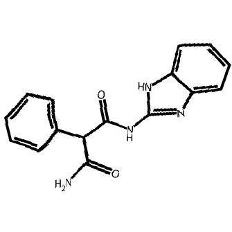 NC(=O)C(C(=O)Nc1nc2ccccc2[nH]1)c1ccccc1